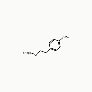 [CH2]CCCCCCOCCc1ccc(OC)cc1